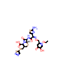 CCOn1cc(O)c(=O)cc1CO/N=C(\C(=O)NC1C(=O)N2C(C(=O)O)=C(CSc3cnns3)CS[C@@H]12)c1csc(N)n1